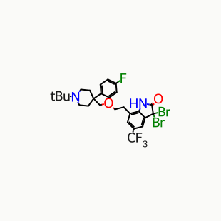 CC(C)(C)N1CCC(COCCc2cc(C(F)(F)F)cc3c2NC(=O)C3(Br)Br)(c2ccc(F)cc2)CC1